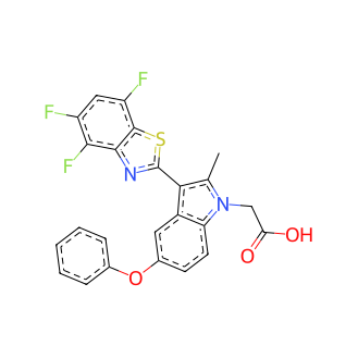 Cc1c(-c2nc3c(F)c(F)cc(F)c3s2)c2cc(Oc3ccccc3)ccc2n1CC(=O)O